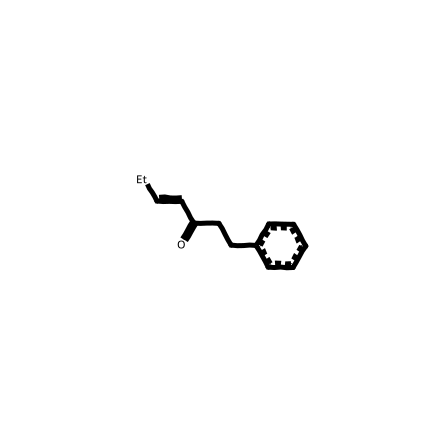 CCC=CC(=O)CCc1ccccc1